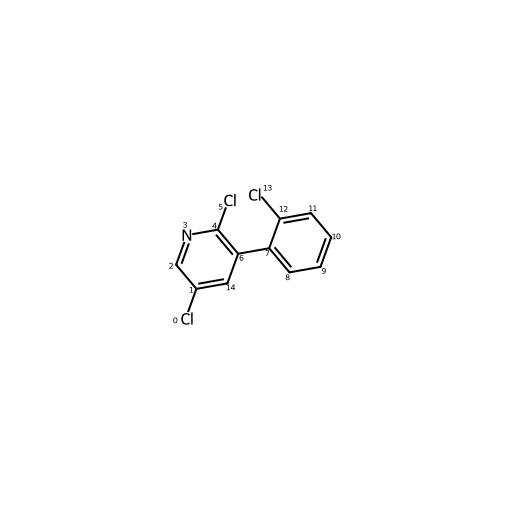 Clc1cnc(Cl)c(-c2ccccc2Cl)c1